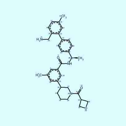 Cc1cc(C(=O)N[C@H](C)c2ccc(-c3cc(C(F)(F)F)ccc3CN)cc2)cc(C2CCCN(C(=O)C3COC3)C2)c1